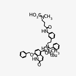 CN(CCCC(=O)Nc1cccc(CCN(Cc2ccccc2)C[C@H](O[Si](C)(C)C(C)(C)C)c2ccc(OCc3ccccc3)c3[nH]c(=O)ccc23)c1)C(=O)O